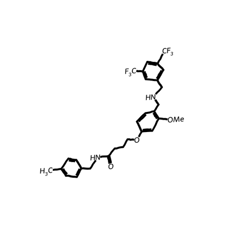 COc1cc(OCCCC(=O)NCc2ccc(C)cc2)ccc1CNCc1cc(C(F)(F)F)cc(C(F)(F)F)c1